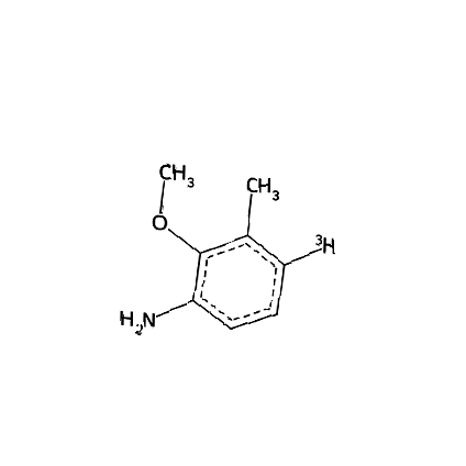 [3H]c1ccc(N)c(OC)c1C